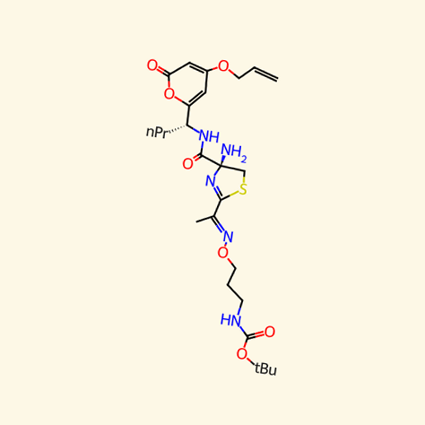 C=CCOc1cc([C@@H](CCC)NC(=O)[C@]2(N)CSC(/C(C)=N/OCCCNC(=O)OC(C)(C)C)=N2)oc(=O)c1